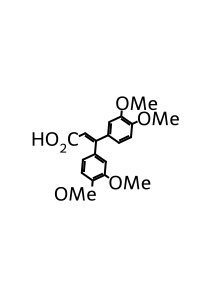 COc1ccc(C(=CC(=O)O)c2ccc(OC)c(OC)c2)cc1OC